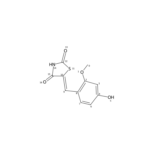 COc1cc(O)ccc1C=C1SC(=O)NC1=O